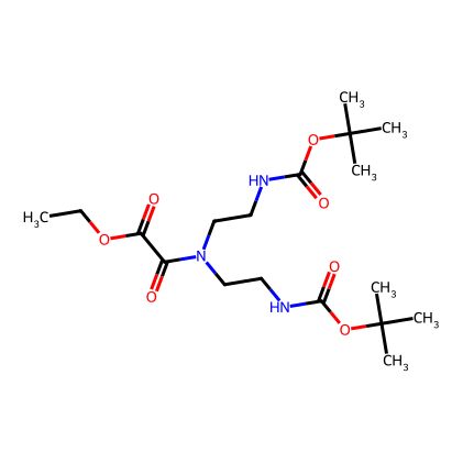 CCOC(=O)C(=O)N(CCNC(=O)OC(C)(C)C)CCNC(=O)OC(C)(C)C